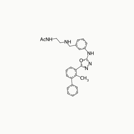 CC(=O)NCCNCc1cccc(Nc2nnc(-c3cccc(-c4ccccc4)c3C)o2)c1